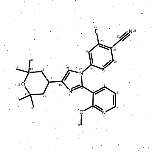 COc1ncccc1-c1nc(C2CC(C)(C)OC(C)(C)C2)cn1-c1ccc(C#N)c(F)c1